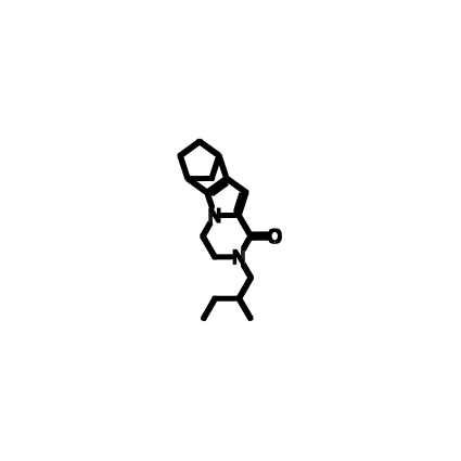 CCC(C)CN1CCn2c(cc3c2C2CCC3C2)C1=O